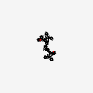 c1ccc(-c2nc(-c3ccccc3)nc(-c3cc(-c4ccc5c(cnc6ccc(-c7ccc8oc9c(-c%10nc(-c%11ccccc%11)nc(-c%11ccccc%11)n%10)cc(-c%10nc%11ccccc%11c%11ccccc%10%11)cc9c8c7)cc65)c4)cc4c3oc3ccccc34)n2)cc1